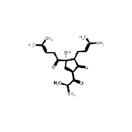 CC(C)=CCC(=O)[C@]1(O)C=C(C(=O)C(C)C)C(=O)C1CC=C(C)C